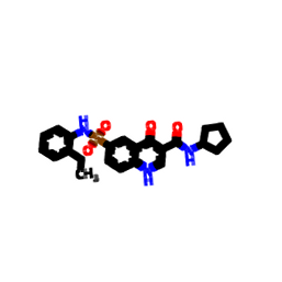 CCc1ccccc1NS(=O)(=O)c1ccc2[nH]cc(C(=O)NC3CCCC3)c(=O)c2c1